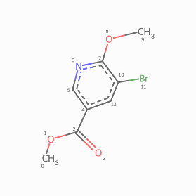 COC(=O)c1cnc(OC)c(Br)c1